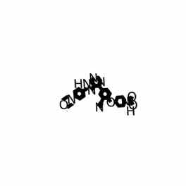 N#Cc1cc(-c2ncnc3[nH]c(-c4ccc(N5CCOCC5)cc4)nc23)ccc1OC1CCN([SH](=O)=O)CC1